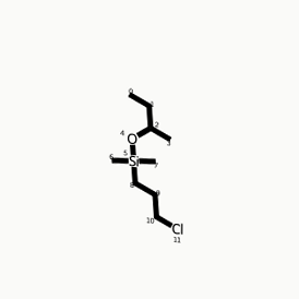 CCC(C)O[Si](C)(C)CCCCl